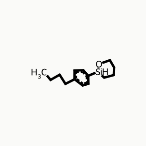 CCCCc1ccc([SiH]2CCCCO2)cc1